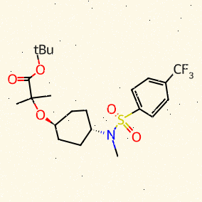 CN([C@H]1CC[C@H](OC(C)(C)C(=O)OC(C)(C)C)CC1)S(=O)(=O)c1ccc(C(F)(F)F)cc1